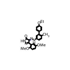 CCOc1ccc(-c2cc(N/N=C3/C(=O)NN=C3c3cc(OC)ccc3OC)ccc2C)cc1